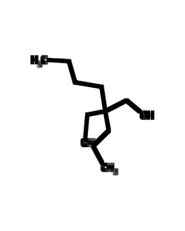 CCCCC(CO)(CO)CCC